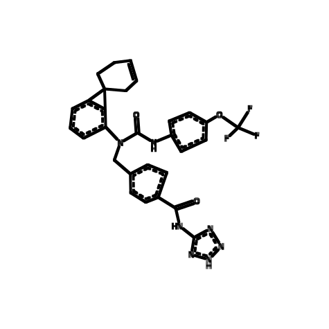 O=C(Nc1nn[nH]n1)c1ccc(CN(C(=O)Nc2ccc(OC(F)(F)F)cc2)c2cccc3c2C32CC=CCC2)cc1